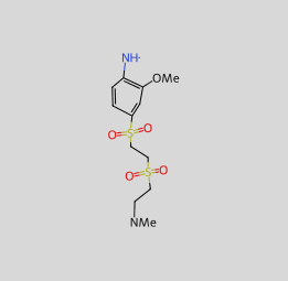 CNCCS(=O)(=O)CCS(=O)(=O)c1ccc([NH])c(OC)c1